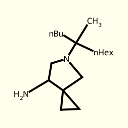 CCCCCCC(C)(CCCC)N1CC(N)C2(CC2)C1